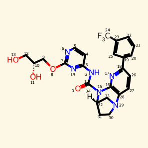 O=C(Nc1ccnc(OC[C@H](O)CO)n1)N1c2nc(-c3cccc(C(F)(F)F)c3)ccc2N2CC[C@H]1C2